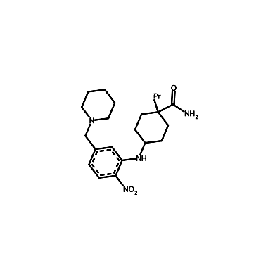 CC(C)C1(C(N)=O)CCC(Nc2cc(CN3CCCCC3)ccc2[N+](=O)[O-])CC1